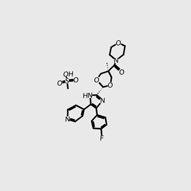 CS(=O)(=O)O.C[C@]1(C(=O)N2CCOCC2)CO[C@H](c2nc(-c3ccc(F)cc3)c(-c3ccncc3)[nH]2)OC1